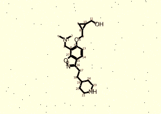 CN(C)Cc1c(OCC2CC2CO)ccc2c(CCC3CCNCC3)noc12